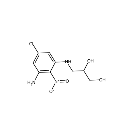 Nc1cc(Cl)cc(NCC(O)CO)c1[N+](=O)[O-]